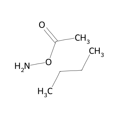 CC(=O)ON.CCCC